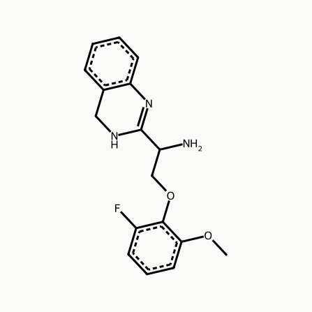 COc1cccc(F)c1OCC(N)C1=Nc2ccccc2CN1